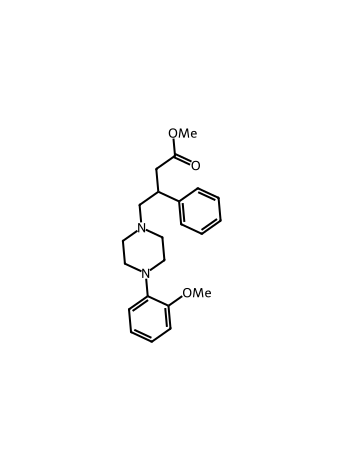 COC(=O)CC(CN1CCN(c2ccccc2OC)CC1)c1ccccc1